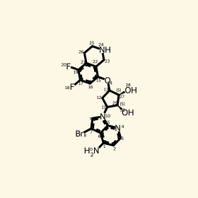 Nc1ccnc2c1c(Br)cn2C1CC(Oc2cc(F)c(F)c3c2CNCC3)[C@@H](O)[C@H]1O